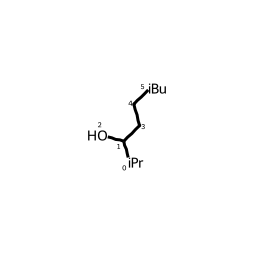 [CH2]C(C)C(O)CCC(C)CC